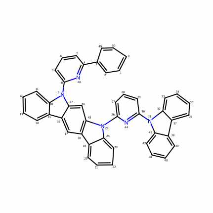 c1ccc(-c2cccc(-n3c4ccccc4c4cc5c6ccccc6n(-c6cccc(-n7c8ccccc8c8ccccc87)n6)c5cc43)n2)cc1